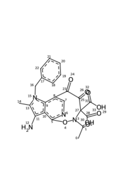 CC(=O)N1Oc2ncc(c3c2c(N)c(C)n3Cc2ccccc2)C(=O)C(=O)C1(C(=O)O)C(=O)O